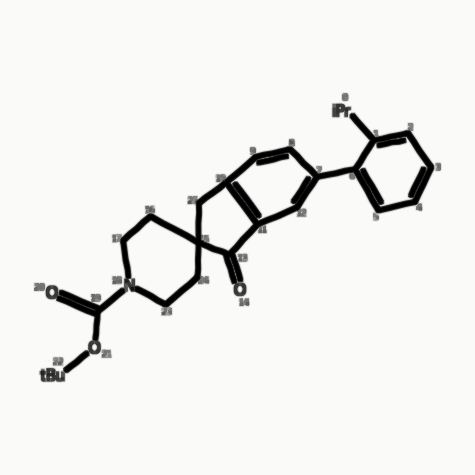 CC(C)c1ccccc1-c1ccc2c(c1)C(=O)C1(CCN(C(=O)OC(C)(C)C)CC1)C2